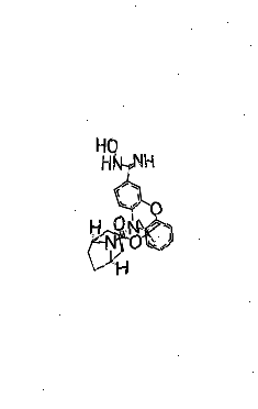 CC(C)(C)OC(=O)N1[C@@H]2CC[C@H]1C[C@H](N1c3ccccc3Oc3cc(C(=N)NO)ccc31)C2